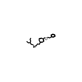 CCCC(CC)CCN(C)CCCC1=CC=C(COCCc2ccccc2)C=CC1